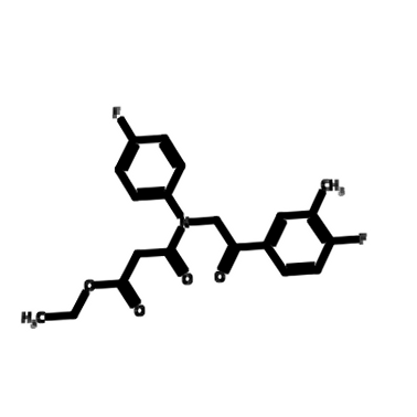 CCOC(=O)CC(=O)N(CC(=O)c1ccc(F)c(C)c1)c1ccc(F)cc1